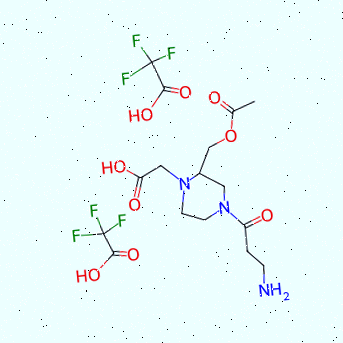 CC(=O)OCC1CN(C(=O)CCN)CCN1CC(=O)O.O=C(O)C(F)(F)F.O=C(O)C(F)(F)F